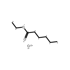 CCCCCC(=O)OCC.[Cr+2]